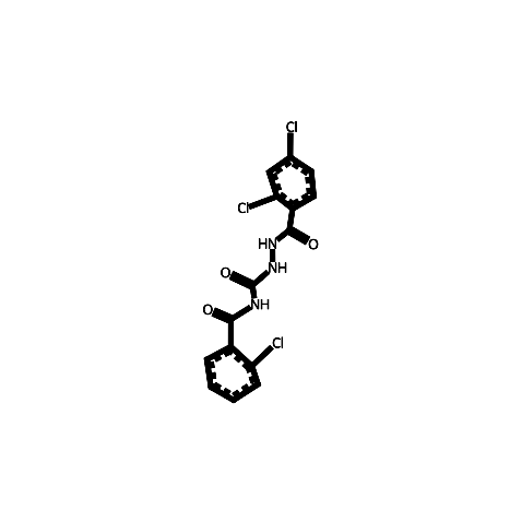 O=C(NNC(=O)c1ccc(Cl)cc1Cl)NC(=O)c1ccccc1Cl